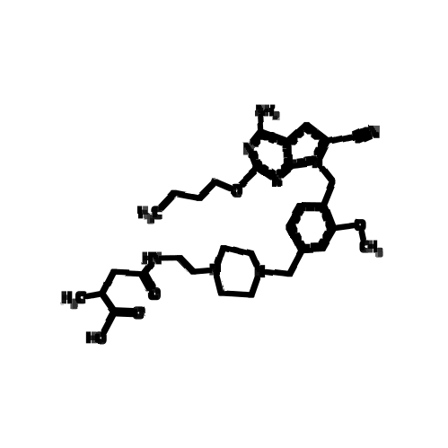 CCCCOc1nc(N)c2cc(C#N)n(Cc3ccc(CN4CCN(CCNC(=O)CC(C)C(=O)O)CC4)cc3OC)c2n1